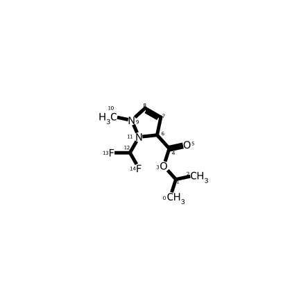 CC(C)OC(=O)C1C=CN(C)N1C(F)F